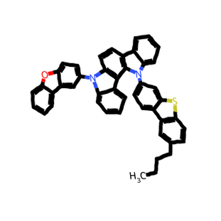 CCCCc1ccc2sc3cc(-n4c5ccccc5c5ccc6c(c7ccccc7n6-c6ccc7oc8ccccc8c7c6)c54)ccc3c2c1